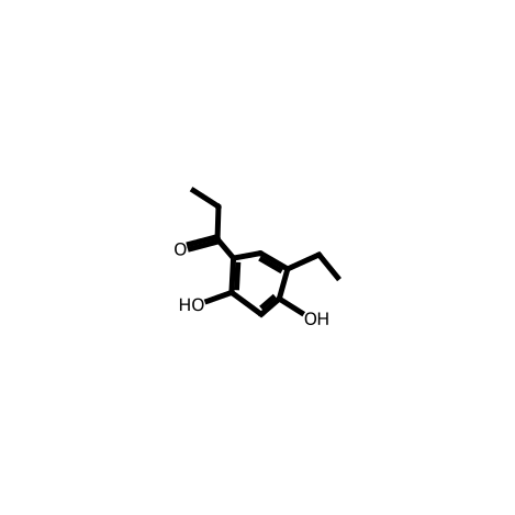 CCC(=O)c1cc(CC)c(O)cc1O